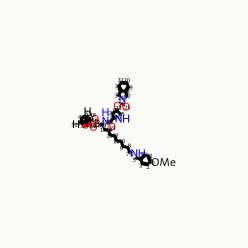 COc1ccc(CNCCCCCCCCC[C@H](NC(=O)C2C[C@@H](OC(=O)N3Cc4ccccc4C3)CN2)B2OC3C[C@H]4C[C@H](C4(C)C)[C@@]3(C)O2)cc1